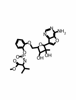 COC(=O)C(/N=[P+](\[O-])Oc1ccccc1OCC1OC(c2coc3c(N)ncnc23)C(C)(O)C1O)C(C)C